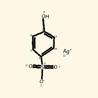 O=S(=O)([O-])c1ccc(O)cc1.[Ag+]